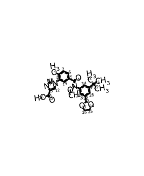 CON(C(=O)c1ccc(C)c(-n2cc(C(=O)O)nn2)c1)c1cc(C2OCCO2)cc(C(C)(C)C)c1